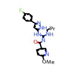 COc1ccc(C(=O)/N=C(/NCC(C)C)Nc2cc(-c3ccc(F)cc3)n[nH]2)cn1